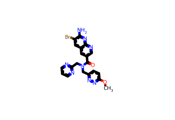 COc1ccc(CN(Cc2ncccn2)C(=O)c2cnc3nc(N)c(Br)cc3c2)nn1